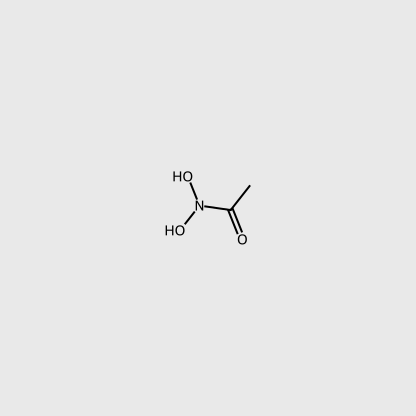 CC(=O)N(O)O